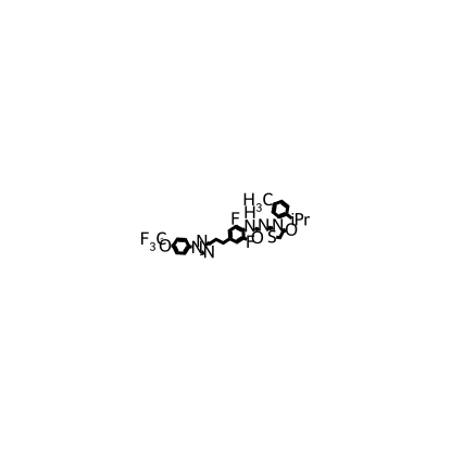 Cc1ccc(C(C)C)c(N2C(=O)CSC2=NC(=O)Nc2c(F)cc(CCc3ncn(-c4ccc(OC(F)(F)F)cc4)n3)cc2F)c1